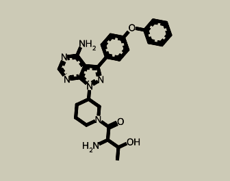 CC(O)C(N)C(=O)N1CCCC(n2nc(-c3ccc(Oc4ccccc4)cc3)c3c(N)ncnc32)C1